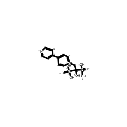 O=P(O)(O)C(O)(C[n+]1ccc(-c2ccncc2)cc1)P(=O)(O)O